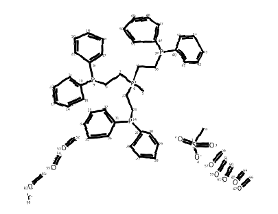 CS(=O)(=O)[O-].C[P+](CCP(c1ccccc1)c1ccccc1)(CCP(c1ccccc1)c1ccccc1)CCP(c1ccccc1)c1ccccc1.[C]=O.[C]=O.[C]=O.[C]=O.[C]=O.[C]=O.[C]=O.[C]=O.[Ir]